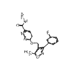 Cc1onc(-c2cccc(F)c2)c1COc1ccc(C(=O)NC(C)C)nn1